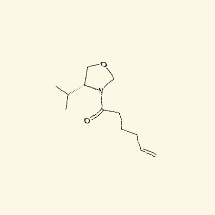 C=CCCCC(=O)N1COC[C@H]1C(C)C